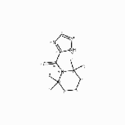 CC1(C)CCCC(C)(C)N1C(=O)c1ncc[nH]1